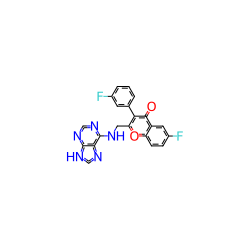 O=c1c(-c2cccc(F)c2)c(CNc2ncnc3[nH]cnc23)oc2ccc(F)cc12